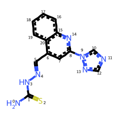 NC(=S)N/N=C/c1cc(-n2cncn2)nc2ccccc12